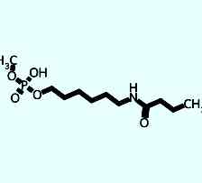 CCCC(=O)NCCCCCCOP(=O)(O)OC